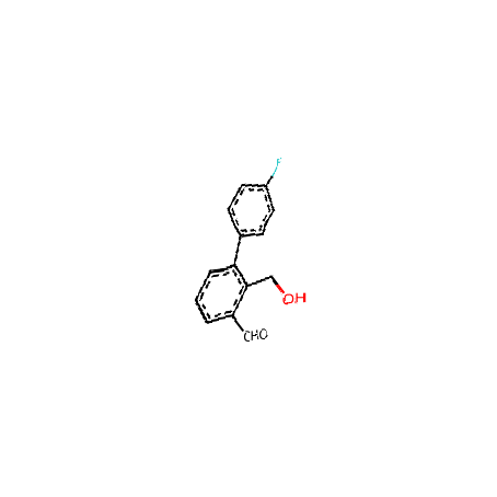 O=Cc1cccc(-c2ccc(F)cc2)c1CO